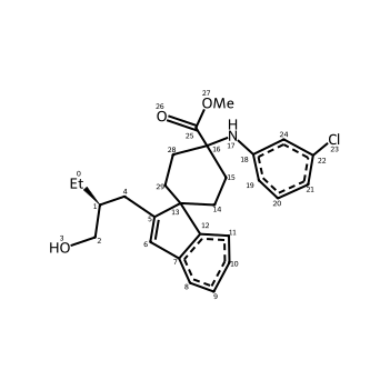 CC[C@H](CO)CC1=Cc2ccccc2C12CCC(Nc1cccc(Cl)c1)(C(=O)OC)CC2